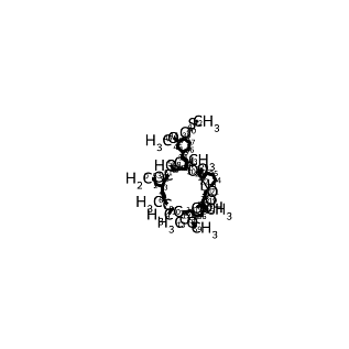 C=CCC1C=C(C)CC(C)CC(OC)C2OC(O)(C(=O)C(=O)N3CCCCC3C(=O)OC(C(C)=CC3CCC(OCSC)C(OC)C3)C(C)C(O)CC1=O)C(C)CC2OC